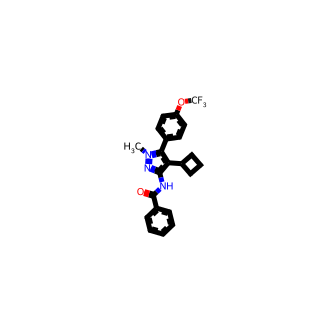 Cn1nc(NC(=O)c2ccccc2)c(C2CCC2)c1-c1ccc(OC(F)(F)F)cc1